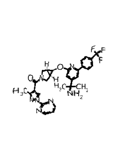 Cc1nn(-c2ncccn2)cc1C(=O)N1C[C@@H]2[C@H](C1)[C@@H]2Oc1cc(C(C)(C)N)cc(-c2ccc(C(F)(F)F)cc2)n1